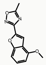 COc1cccc2oc(-c3noc(C)n3)cc12